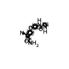 N#Cc1cn(CC(N)=O)c2ccc(Oc3ccc(NC(=O)[C@@H]4CCCN4)cc3)cc12